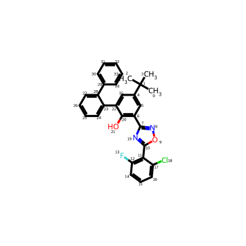 CC(C)(C)c1cc(-c2noc(-c3c(F)cccc3Cl)n2)c(O)c(-c2ccccc2-c2ccccc2)c1